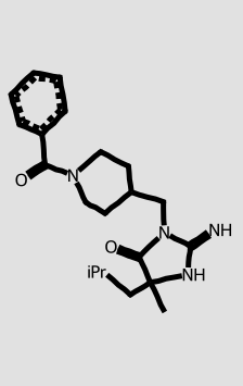 CC(C)CC1(C)NC(=N)N(CC2CCN(C(=O)c3ccccc3)CC2)C1=O